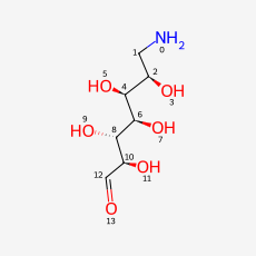 NC[C@@H](O)[C@H](O)[C@@H](O)[C@@H](O)[C@@H](O)C=O